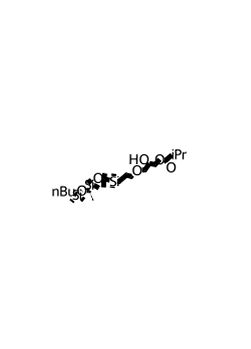 CCCC[Si](C)(C)O[C@@H](C)[Si](C)(C)OC(C)(C)[Si](C)(C)CCCOCC(O)COC(=O)C(C)C